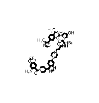 Cc1ncsc1-c1ccc([C@H](C)NC(=O)[C@@H]2C[C@@H](O)CN2C(=O)[C@@H](NC(=O)CCN2CCN(c3ccc4c(C5CCN(C(=O)c6ccc(OC(F)(F)F)cc6N)CC5)ncnc4c3)CC2)C(C)(C)C)cc1